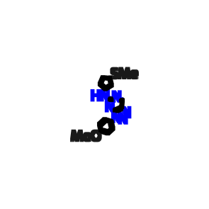 COc1ccc(-n2nnc3cnc(N[C@@H]4CC[C@@H](SC)C4)nc32)cc1